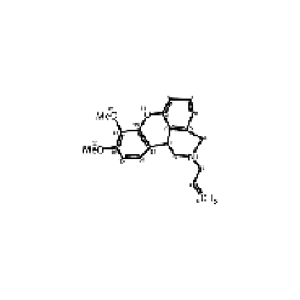 C=CCN1Cc2cccc3c2C(C1)c1ccc(OC)c(OC)c1O3